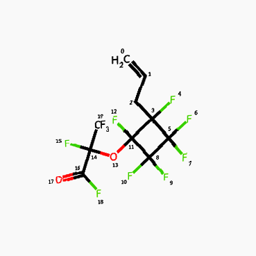 C=CCC1(F)C(F)(F)C(F)(F)C1(F)OC(F)(C(=O)F)C(F)(F)F